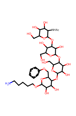 CC(=O)NC1C(OC2C(O)C(CO)OC(OC3C(CO)OC(OC4C(COc5ccccc5)OC(OCCCCCN)C(O)C4O)C(O)C3O)C2O)OC(CO)C(O)C1O